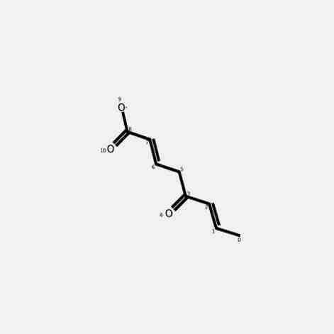 CC=CC(=O)CC=CC([O])=O